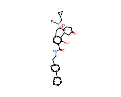 CCN(CC1CC1)[C@@H]1Cc2ccc(C(=O)NCCc3ccc(-c4ccccc4)cc3)c(O)c2C2CC(=O)CC[C@]21O